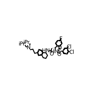 CC(C)CN(CCCc1ccc2c(c1)CCC[C@H]2NC(=O)C[C@@H](NS(=O)(=O)c1ccc(Cl)c(Cl)c1)c1ccc(F)cc1)CC(C)C